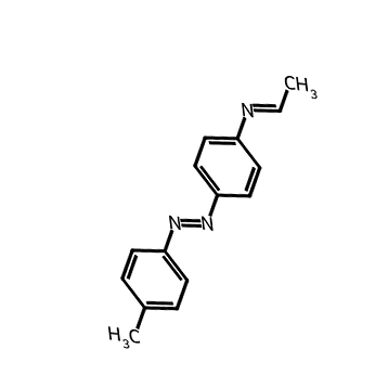 CC=Nc1ccc(N=Nc2ccc(C)cc2)cc1